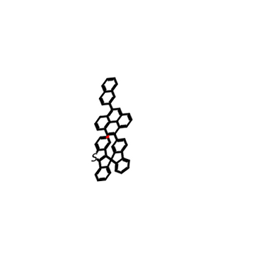 C1=CC2=CC(c3ccc4ccccc4c3)=C3CC=CC4=C3C2C(=C1)C(c1ccc2c(c1)C1(c3ccccc3-2)c2ccccc2-c2sc3ccccc3c21)=C4